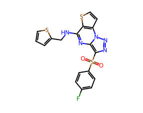 O=S(=O)(c1ccc(F)cc1)c1nnn2c1nc(NCc1cccs1)c1sccc12